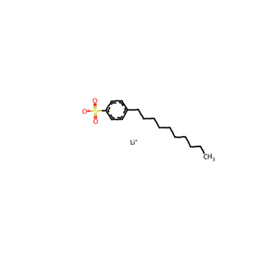 CCCCCCCCCCc1ccc(S(=O)(=O)[O-])cc1.[Li+]